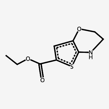 CCOC(=O)c1cc2c(s1)NCCO2